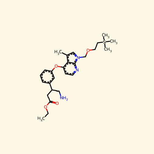 CCOC(=O)CC(CN)c1cccc(Oc2ccnc3c2c(C)cn3COCC[Si](C)(C)C)c1